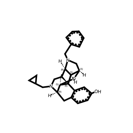 Oc1ccc2c(c1)[C@]13CCN(CC4CC4)[C@H](C2)[C@]12CC[C@@H]1[C@H]3[C@@H](CN1Cc1ccccc1)O2